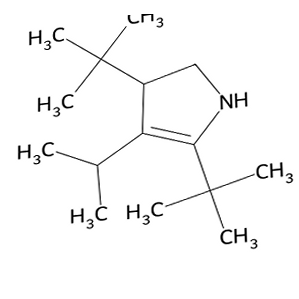 CC(C)C1=C(C(C)(C)C)NCC1C(C)(C)C